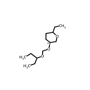 CCC(CC)OCO[C@H]1CCC(CC)OC1